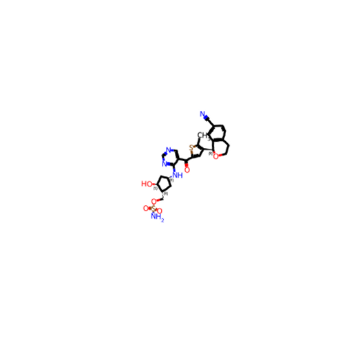 Cc1sc(C(=O)c2cncnc2N[C@@H]2C[C@H](COS(N)(=O)=O)[C@@H](O)C2)cc1[C@@H]1OCCc2ccc(C#N)cc21